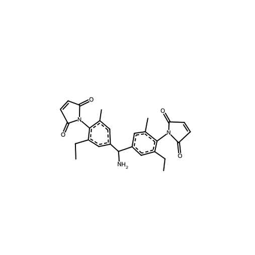 CCc1cc(C(N)c2cc(C)c(N3C(=O)C=CC3=O)c(CC)c2)cc(C)c1N1C(=O)C=CC1=O